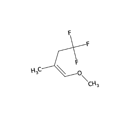 CO/C=C(/C)CC(F)(F)F